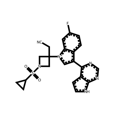 N#CCC1(n2cc(-c3ncnc4[nH]ccc34)c3ccc(F)cc32)CN(S(=O)(=O)C2CC2)C1